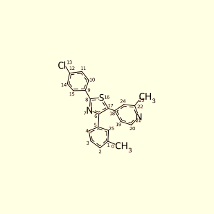 Cc1cccc(-c2nc(-c3ccc(Cl)cc3)sc2-c2ccnc(C)c2)c1